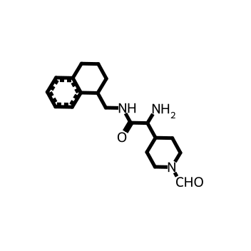 NC(C(=O)NCC1CCCc2ccccc21)C1CCN(C=O)CC1